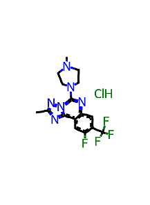 Cc1nc2c3cc(F)c(C(F)(F)F)cc3nc(N3CCN(C)CC3)n2n1.Cl